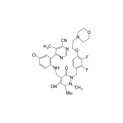 Cc1c(C#N)ncnc1-c1cc(Cl)ccc1NCC1=C(N=O)C(C(C)(C)C)N(C)N(Cc2ccc(OCCN3CCOCC3)c(F)c2F)C1=O